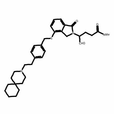 CNC(=O)CCC(C=O)N1Cc2c(SCc3ccc(CCN4CCC5(CCCCC5)CC4)cc3)cccc2C1=O